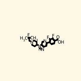 CC(C)(F)CN1CCC(n2nnc3cc(-c4ccc(C(=O)O)c(F)c4F)ncc32)CC1